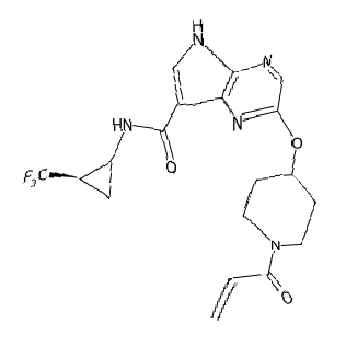 C=CC(=O)N1CCC(Oc2cnc3[nH]cc(C(=O)NC4C[C@H]4C(F)(F)F)c3n2)CC1